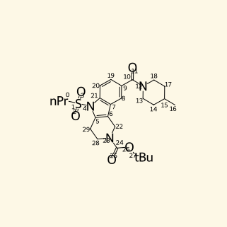 CCCS(=O)(=O)n1c2c(c3cc(C(=O)N4CCC(C)CC4)ccc31)CN(C(=O)OC(C)(C)C)CC2